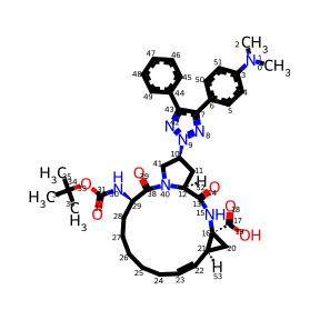 CN(C)c1ccc(-c2nn([C@H]3C[C@H]4C(=O)N[C@@]5(C(=O)O)C[C@H]5/C=C\CCCCC[C@@H](NC(=O)OC(C)(C)C)C(=O)N4C3)nc2-c2ccccc2)cc1